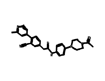 CC(=O)N1CCN(c2ccc(NC(=O)Cc3ccc(-c4ccnc(C)c4)c(C#N)c3)cc2)CC1